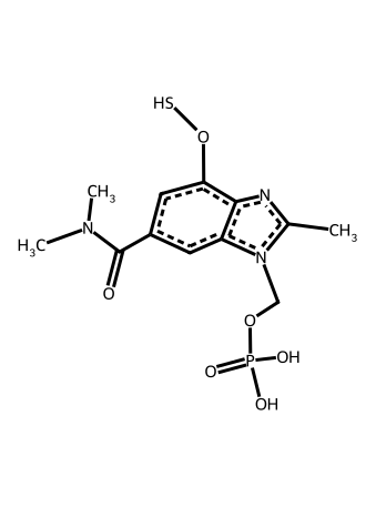 Cc1nc2c(OS)cc(C(=O)N(C)C)cc2n1COP(=O)(O)O